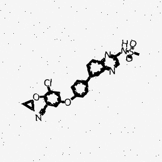 CS(=O)(=O)Nc1cnc2cc(-c3ccc(Oc4cc(Cl)c(OC5CC5)c(C#N)c4)cc3)ccc2n1